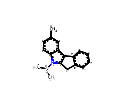 Cc1ccc2c(c1)c1c(n2[SiH](C)C)Cc2ccccc2-1